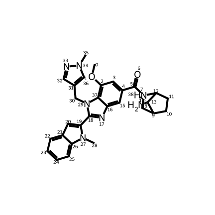 COc1cc(C(=O)N2CC3CCC2[C@@H]3N)cc2nc(-c3cc4ccccc4n3C)n(Cc3cnn(C)c3)c12